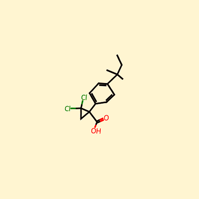 CCC(C)(C)c1ccc(C2(C(=O)O)CC2(Cl)Cl)cc1